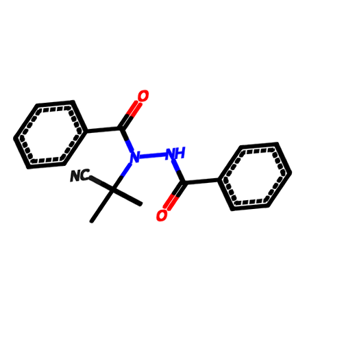 CC(C)(C#N)N(NC(=O)c1ccccc1)C(=O)c1ccccc1